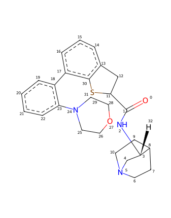 O=C(N[C@H]1CN2CCC1CC2)C1Cc2cccc(-c3ccccc3N3CCOCC3)c2S1